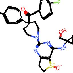 Cc1ccc(C2(C(=O)c3ccc(F)cc3)CCN(c3nc4c(c(NC5(CO)CC5)n3)[S+]([O-])CC4)CC2)cc1